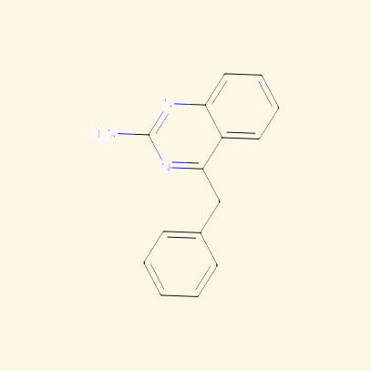 Nc1nc(Cc2ccccc2)c2ccccc2n1